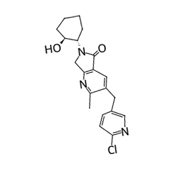 Cc1nc2c(cc1Cc1ccc(Cl)nc1)C(=O)N([C@H]1CCCC[C@@H]1O)C2